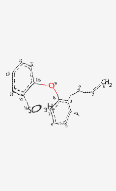 C=CCc1ccccc1Oc1ccccc1S(=O)(=O)O